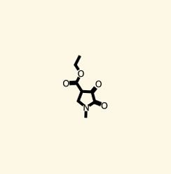 CCOC(=O)C1CN(C)C(=O)C1=O